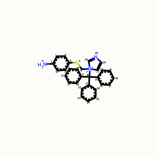 Nc1ccc(SC[N+]2(C(c3ccccc3)(c3ccccc3)c3ccccc3)C=CN=C2)cc1